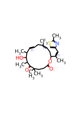 C/C(=C/c1csc(C)n1)C1C/C=C(/C(F)(F)F)C/C=C/C(C)C(O)C(C)C(=O)C(C)(C)CCC(=O)O1